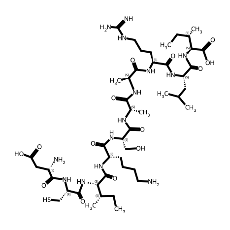 CC[C@H](C)[C@H](NC(=O)[C@H](CC(C)C)NC(=O)[C@H](CCCNC(=N)N)NC(=O)[C@H](C)NC(=O)[C@H](C)NC(=O)[C@H](CO)NC(=O)[C@H](CCCCN)NC(=O)[C@@H](NC(=O)[C@H](CS)NC(=O)[C@@H](N)CC(=O)O)[C@@H](C)CC)C(=O)O